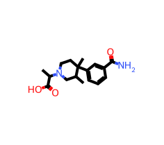 CC(C(=O)O)N1CCC(C)(c2cccc(C(N)=O)c2)C(C)C1